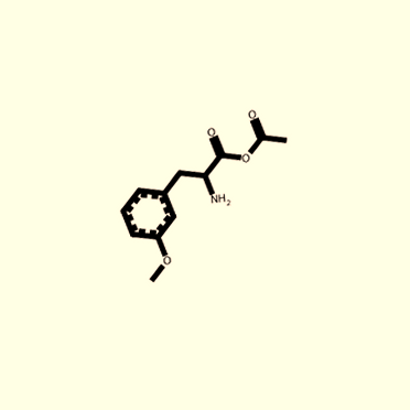 COc1cccc(CC(N)C(=O)OC(C)=O)c1